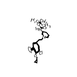 CC(C)(C)OC(=O)N[C@@H]1CCCN(CCc2cc(Cl)c(OCC3CC3)c(Cl)c2)C1